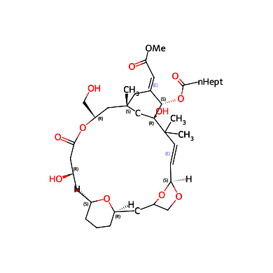 CCCCCCCC(=O)O[C@H]1/C(=C/C(=O)OC)C[C@@]2(C)C[C@H](CO)OC(=O)C[C@H](O)C[C@@H]3CCC[C@H](CC4CO[C@H](/C=C/C(C)(C)[C@]1(O)C2)O4)O3